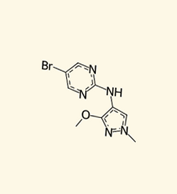 COc1nn(C)cc1Nc1ncc(Br)cn1